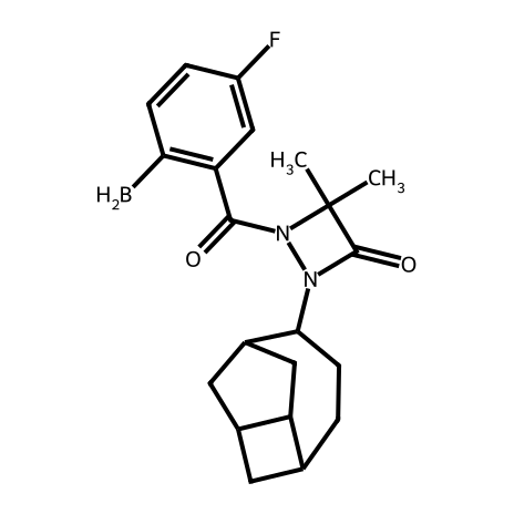 Bc1ccc(F)cc1C(=O)N1N(C2CCC3CC4CC2CC34)C(=O)C1(C)C